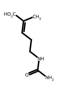 C/C(=C\CCNC(N)=O)C(=O)O